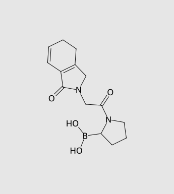 O=C1C2=C(CCC=C2)CN1CC(=O)N1CCCC1B(O)O